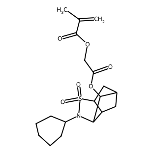 C=C(C)C(=O)OCC(=O)OC1C2CC3C1N(C1CCCCC1)S(=O)(=O)C3C2